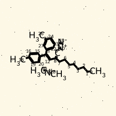 CCCCCCCCC(=C=[N+]=[N-])C=C(c1ccc(C)cc1)c1cccc(C)c1.[CH3][Ni][CH3]